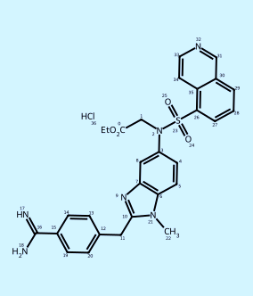 CCOC(=O)CN(c1ccc2c(c1)nc(Cc1ccc(C(=N)N)cc1)n2C)S(=O)(=O)c1cccc2cnccc12.Cl